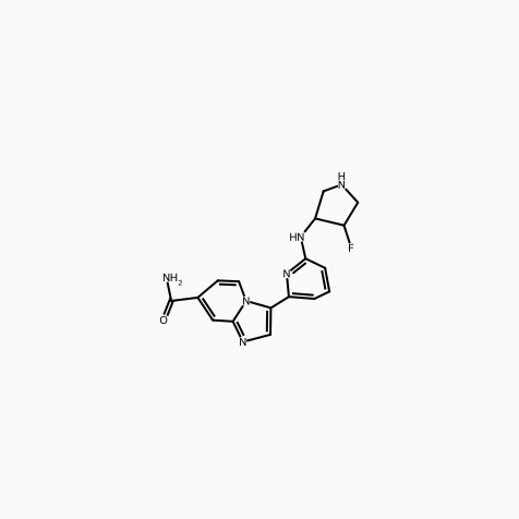 NC(=O)c1ccn2c(-c3cccc(NC4CNCC4F)n3)cnc2c1